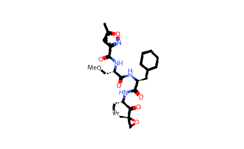 COC[C@H](NC(=O)c1cc(C)on1)C(=O)N[C@@H](CC1CCCCC1)C(=O)N[C@@H](CC(C)C)C(=O)[C@@]1(C)CO1